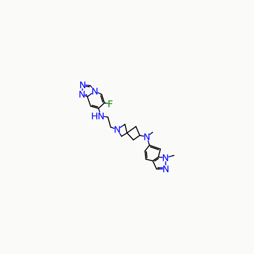 CN(c1ccc2cnn(C)c2c1)C1CC2(C1)CN(CCNc1cc3nncn3cc1F)C2